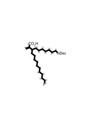 C=C(C(=O)O)C(CCCCCCCCCCF)CCCCCCCCCCCCCCCCC